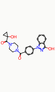 O=C(c1ccc(-n2nc(O)c3ccccc32)cc1)N1CCN(C(=O)C2(O)CC2)CC1